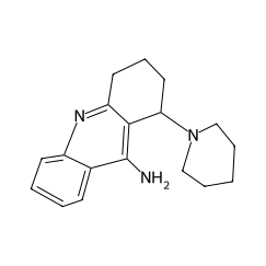 Nc1c2c(nc3ccccc13)CCCC2N1CCCCC1